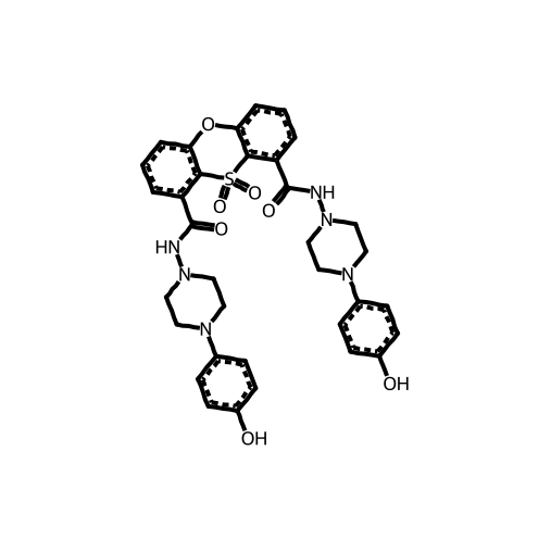 O=C(NN1CCN(c2ccc(O)cc2)CC1)c1cccc2c1S(=O)(=O)c1c(cccc1C(=O)NN1CCN(c3ccc(O)cc3)CC1)O2